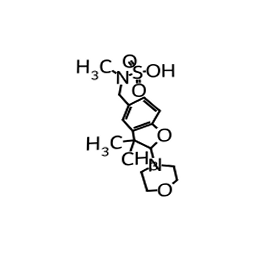 CN(Cc1ccc2c(c1)C(C)(C)C(N1CCOCC1)O2)S(=O)(=O)O